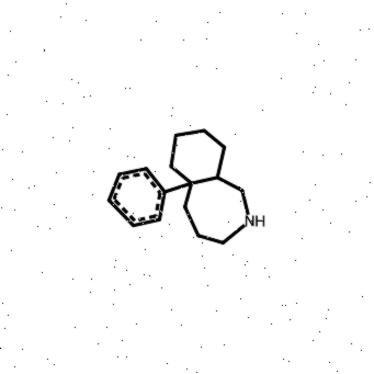 c1ccc(C23CCCCC2CNCCC3)cc1